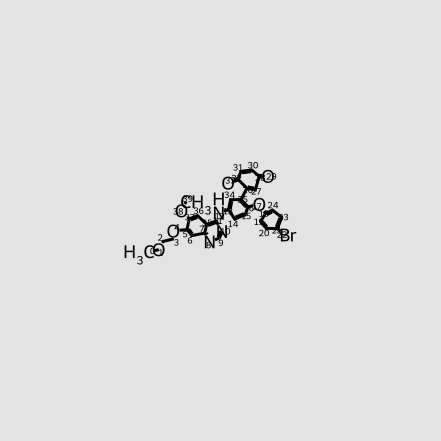 COCCOc1cc2ncnc(Nc3ccc(Oc4ccc(Br)cc4)c(C4=CC(=O)C=CC4=O)c3)c2cc1OC